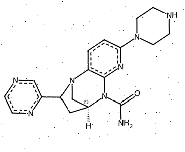 NC(=O)N1c2nc(N3CCNCC3)ccc2N2C[C@@H]1CC2c1cnccn1